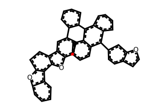 c1ccc(-c2c3ccccc3c(-c3ccc4ccoc4c3)c3ccccc23)c(-c2ccc3oc4c(ccc5oc6ccccc6c54)c3c2)c1